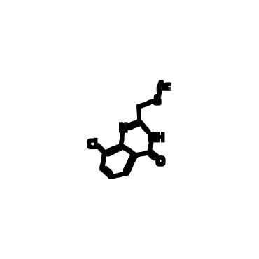 CC(=O)SCc1nc2c(Cl)cccc2c(=O)[nH]1